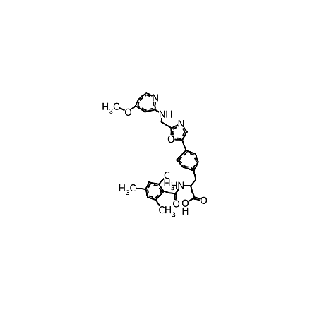 COc1ccnc(NCc2ncc(-c3ccc(CC(NC(=O)c4c(C)cc(C)cc4C)C(=O)O)cc3)o2)c1